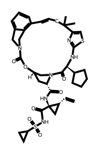 C=C[C@@H]1C[C@]1(NC(=O)[C@@H]1C[C@@H]2CN1C(=O)[C@H](C1CCCC1)Nc1nc(cs1)C(C)(C)C/C=C/c1cccc3c1CN(C3)C(=O)O2)C(=O)NS(=O)(=O)C1CC1